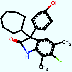 Cc1cc2c(c(C)c1F)NC(=O)C2(c1ccc(O)cc1)C1CCCCCC1